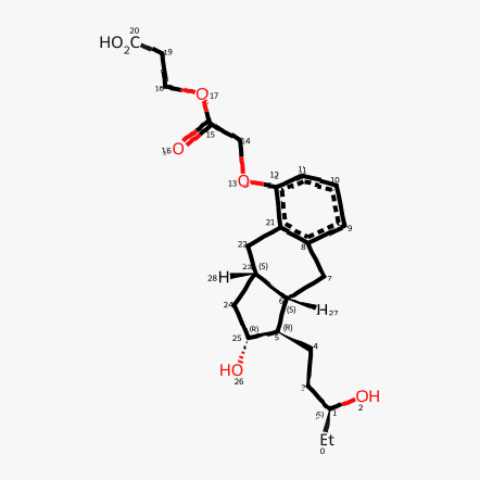 CC[C@H](O)CC[C@@H]1[C@H]2Cc3cccc(OCC(=O)OCCC(=O)O)c3C[C@H]2C[C@H]1O